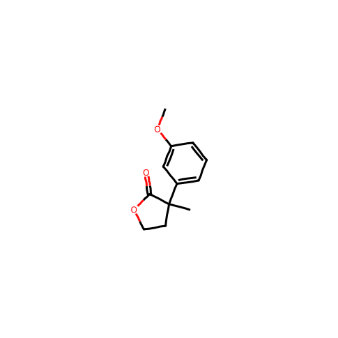 COc1cccc(C2(C)CCOC2=O)c1